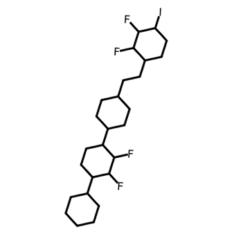 FC1C(I)CCC(CCC2CCC(C3CCC(C4CCCCC4)C(F)C3F)CC2)C1F